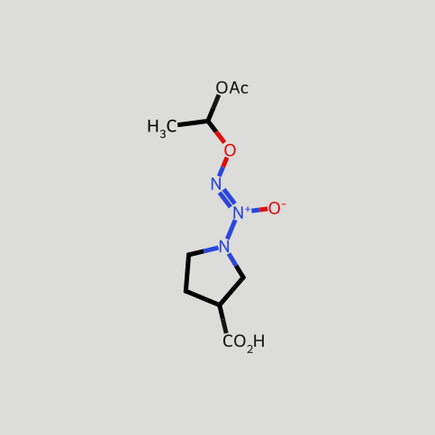 CC(=O)OC(C)O/N=[N+](\[O-])N1CCC(C(=O)O)C1